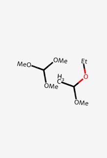 CCOC(C)OC.COC(OC)OC